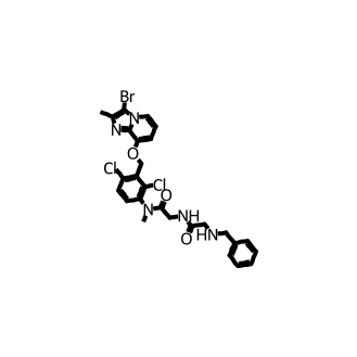 Cc1nc2c(OCc3c(Cl)ccc(N(C)C(=O)CNC(=O)CNCc4ccccc4)c3Cl)cccn2c1Br